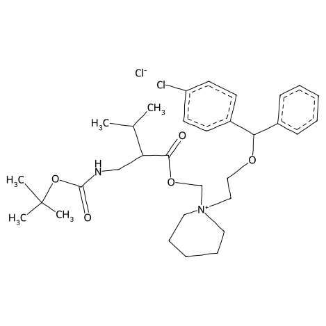 CC(C)C(CNC(=O)OC(C)(C)C)C(=O)OC[N+]1(CCOC(c2ccccc2)c2ccc(Cl)cc2)CCCCC1.[Cl-]